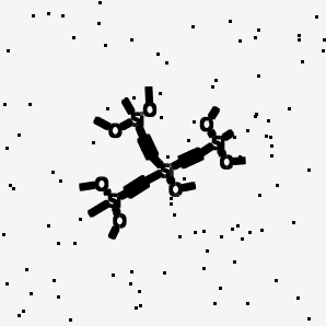 CO[Si](C#C[Si](C)(OC)OC)(C#C[Si](C)(OC)OC)C#C[Si](C)(OC)OC